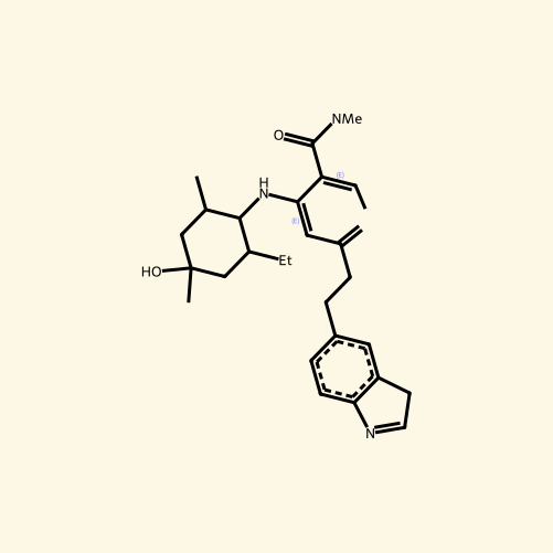 C=C(/C=C(NC1C(C)CC(C)(O)CC1CC)\C(=C/C)C(=O)NC)CCc1ccc2c(c1)CC=N2